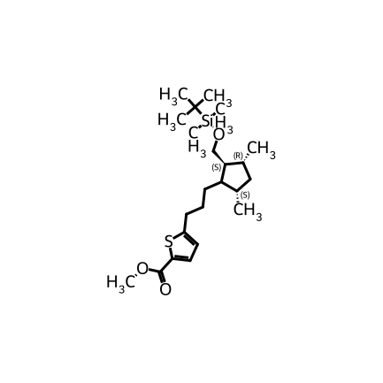 COC(=O)c1ccc(CCCC2[C@@H](CO[Si](C)(C)C(C)(C)C)[C@H](C)C[C@@H]2C)s1